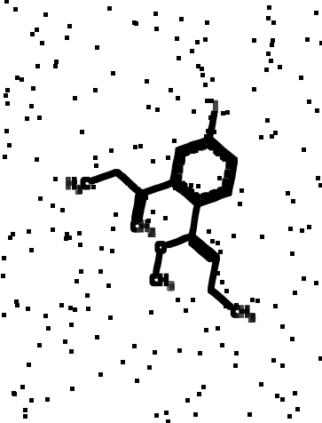 C=C(CC)c1cc(I)ccc1C(=CCC)OC